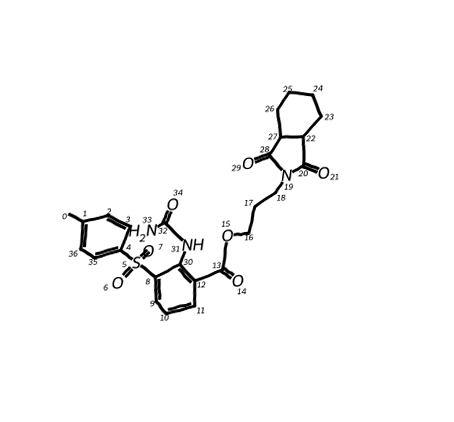 Cc1ccc(S(=O)(=O)c2cccc(C(=O)OCCCN3C(=O)C4CCCCC4C3=O)c2NC(N)=O)cc1